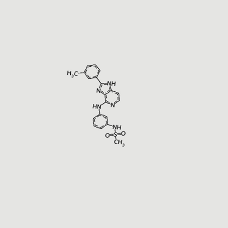 Cc1cccc(-c2nc3c(Nc4cccc(NS(C)(=O)=O)c4)nccc3[nH]2)c1